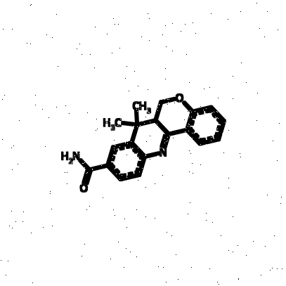 CC1(C)c2cc(C(N)=O)ccc2N=C2c3ccccc3OCC21